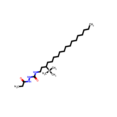 CCCCCCCCCCCCCCC[CH](CCNC(=O)NNC(=O)CC)[Sn]([CH3])([CH3])[CH3]